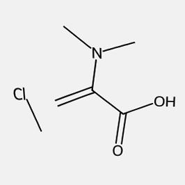 C=C(C(=O)O)N(C)C.CCl